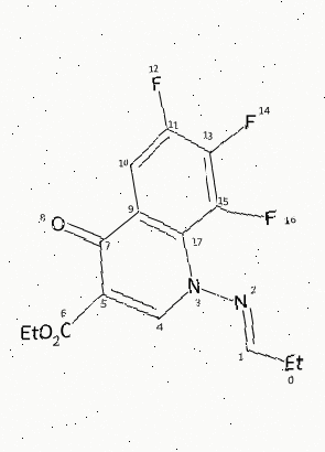 CCC=Nn1cc(C(=O)OCC)c(=O)c2cc(F)c(F)c(F)c21